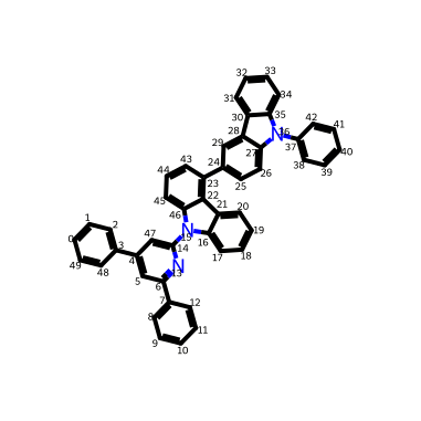 c1ccc(-c2cc(-c3ccccc3)nc(-n3c4ccccc4c4c(-c5ccc6c(c5)c5ccccc5n6-c5ccccc5)cccc43)c2)cc1